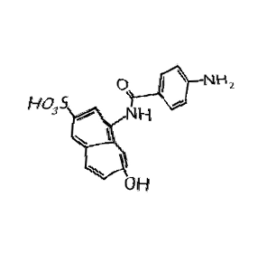 Nc1ccc(C(=O)Nc2cc(S(=O)(=O)O)cc3ccc(O)cc23)cc1